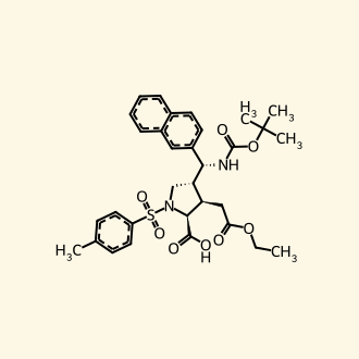 CCOC(=O)C[C@@H]1[C@@H]([C@@H](NC(=O)OC(C)(C)C)c2ccc3ccccc3c2)CN(S(=O)(=O)c2ccc(C)cc2)[C@@H]1C(=O)O